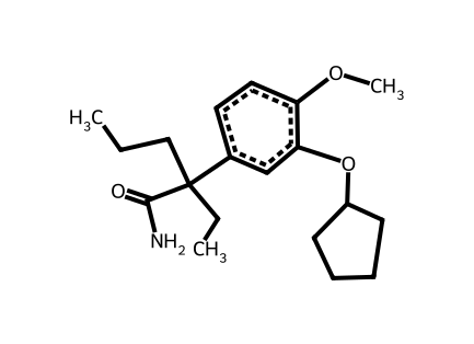 CCCC(CC)(C(N)=O)c1ccc(OC)c(OC2CCCC2)c1